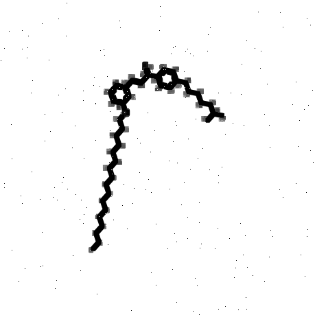 CCCCCCCCCCCCCCCCCOc1cccc(C=CC(=S)c2ccc(CCCCCC(C)C)cc2)c1